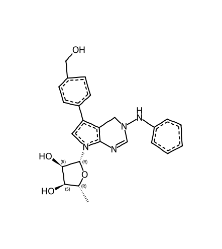 C[C@H]1O[C@@H](n2cc(-c3ccc(CO)cc3)c3c2N=CN(Nc2ccccc2)C3)[C@H](O)[C@@H]1O